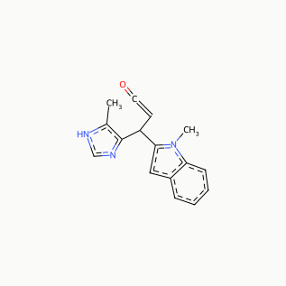 Cc1[nH]cnc1C(C=C=O)c1cc2ccccc2n1C